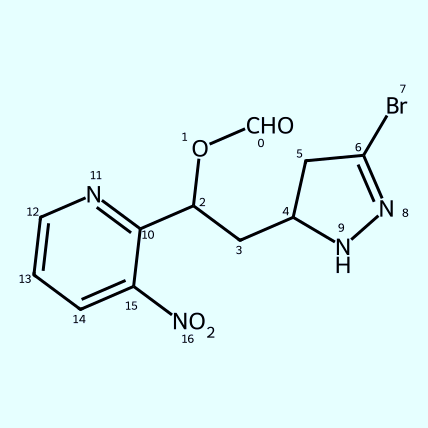 O=COC(CC1CC(Br)=NN1)c1ncccc1[N+](=O)[O-]